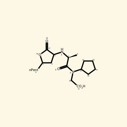 CCCCCC1CC(N[C@@H](C)C(=O)N(CC(=O)O)C2CCCC2)C(=O)O1